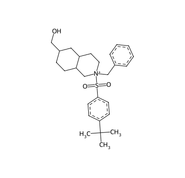 CC(C)(C)c1ccc(S(=O)(=O)[N+]2(Cc3ccccc3)CCC3CC(CO)CCC3C2)cc1